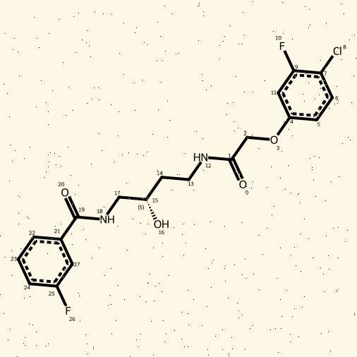 O=C(COc1ccc(Cl)c(F)c1)NCC[C@H](O)CNC(=O)c1cccc(F)c1